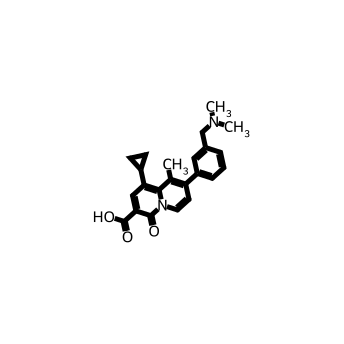 Cc1c(-c2cccc(CN(C)C)c2)ccn2c(=O)c(C(=O)O)cc(C3CC3)c12